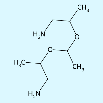 CC(CN)OC(C)OC(C)CN